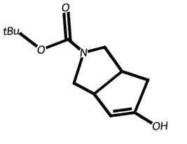 CC(C)(C)OC(=O)N1CC2C=C(O)CC2C1